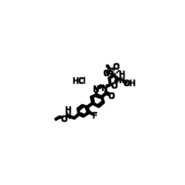 CCONCc1ccc(-c2ccc3c(=O)n(CC[C@](C)(C(=O)NO)S(C)(=O)=O)cnc3c2)c(F)c1.Cl